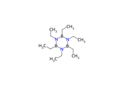 CCB1N(CC)B(CC)N(CC)B(CC)N1CC